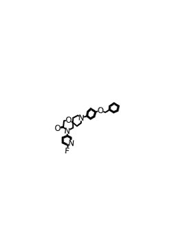 O=C1COC2(CCN(c3ccc(OCc4ccccc4)cc3)CC2)CN1c1ccc(F)nc1